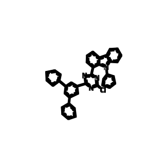 Clc1nc(-c2cc(-c3ccccc3)cc(-c3ccccc3)c2)nc(-c2cccc3c4ccccc4n(-c4ccccc4)c23)n1